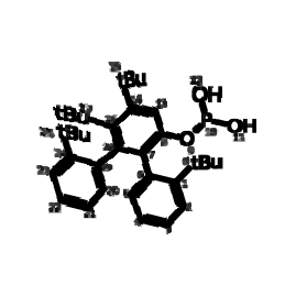 CC(C)(C)c1ccccc1-c1c(OP(O)O)cc(C(C)(C)C)c(C(C)(C)C)c1-c1ccccc1C(C)(C)C